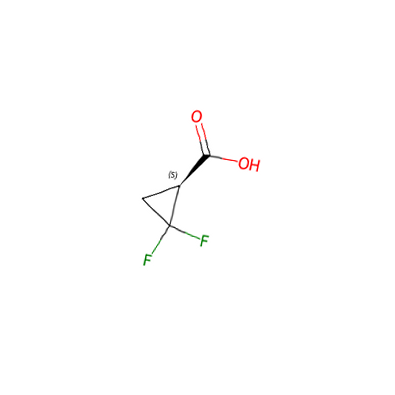 O=C(O)[C@@H]1CC1(F)F